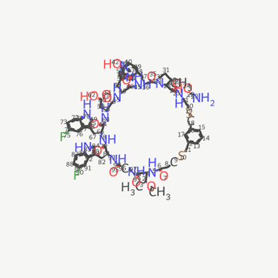 CO[C@@H](C)[C@@H]1NC(=O)CCSCc2cccc(c2)CSC[C@@H](C(N)O)NC(=O)[C@]2(C)CCCN2C(=O)[C@H](Cc2ccc(O)cc2)NC(=O)[C@H](Cc2cnc[nH]2)NC(=O)[C@H](CC(=O)O)NC(=O)[C@H](Cc2c[nH]c3ccc(F)cc23)NC(=O)[C@H](Cc2c[nH]c3ccc(F)cc23)NC(=O)CNC1=O